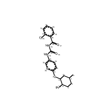 CC1CCC(C(C)C)C(Oc2ccc(NC(=O)NC(=O)c3ccccc3Cl)cn2)C1